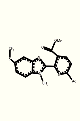 COC(=O)c1ccc(C(C)=O)nc1-c1nc2cc(SC(F)(F)F)ccc2n1C